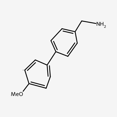 COc1[c]cc(-c2ccc(CN)cc2)cc1